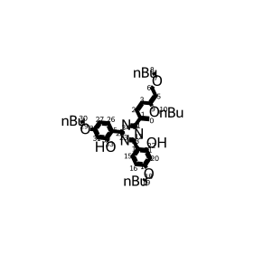 C=C(/C=C\C(=C/COCCCC)OCCCC)c1nc(-c2ccc(OCCCC)cc2O)nc(-c2ccc(OCCCC)cc2O)n1